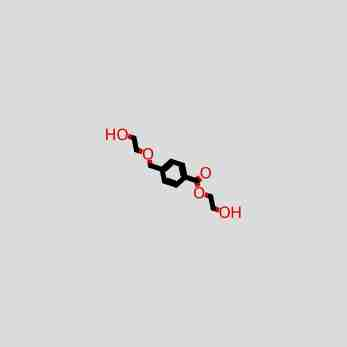 O=C(OCCO)c1ccc(COCCO)cc1